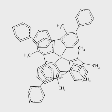 CC1=C(C)C(C)C([Si](c2ccc(-c3ccccc3)c(C)c2-c2ccccc2)(c2ccc(-c3ccccc3)c(C)c2-c2ccccc2)c2ccc(-c3ccccc3)c(C)c2-c2ccccc2)=C1C